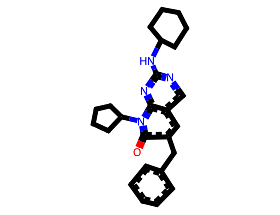 O=c1c(Cc2ccccc2)cc2cnc(NC3CCCCC3)nc2n1C1CCCC1